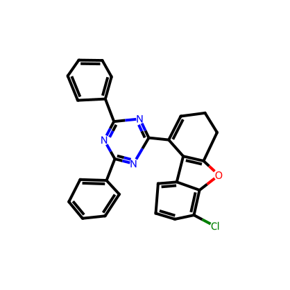 Clc1cccc2c3c(oc12)CCC=C3c1nc(-c2ccccc2)nc(-c2ccccc2)n1